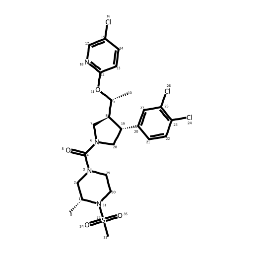 C[C@@H]1CN(C(=O)N2C[C@@H]([C@@H](C)Oc3ccc(Cl)cn3)[C@H](c3ccc(Cl)c(Cl)c3)C2)CCN1S(C)(=O)=O